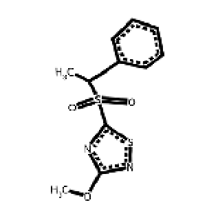 COc1nsc(S(=O)(=O)C(C)c2ccccc2)n1